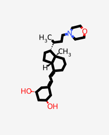 CC(CCN1CCOCC1)[C@H]1CC[C@H]2/C(=C/C=C3C[C@@H](O)C[C@H](O)C3)CCC[C@]12C